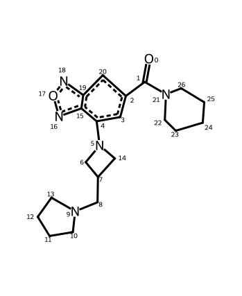 O=C(c1cc(N2CC(CN3CCCC3)C2)c2nonc2c1)N1CCCCC1